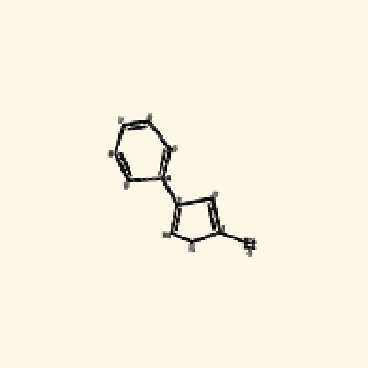 CCC1=CC(c2ccccc2)=CC1